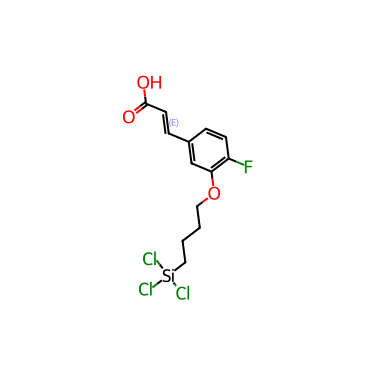 O=C(O)/C=C/c1ccc(F)c(OCCCC[Si](Cl)(Cl)Cl)c1